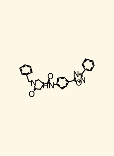 O=C(Nc1ccc(-c2nc(-c3ccccc3)no2)cc1)C1CC(=O)N(Cc2ccccc2)C1